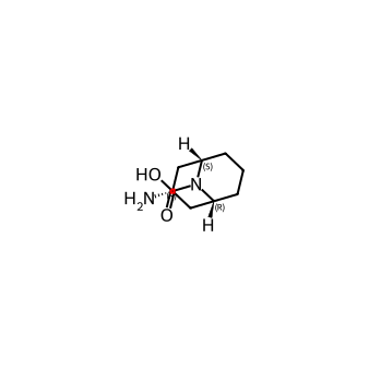 N[C@H]1C[C@H]2CCC[C@@H](C1)N2C(=O)O